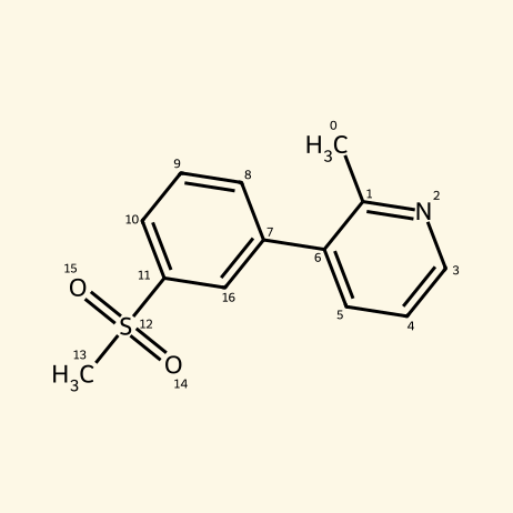 Cc1ncccc1-c1cccc(S(C)(=O)=O)c1